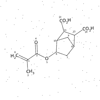 C=C(C)C(=O)OC1CC2CC1C(C(=O)O)C2C(=O)O